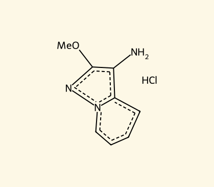 COc1nn2ccccc2c1N.Cl